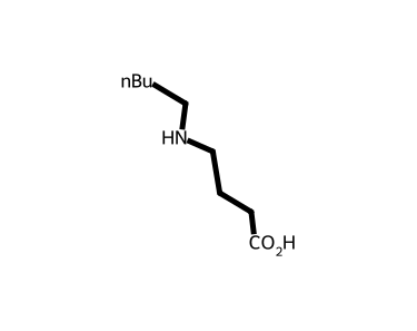 CCCCCNCCCC(=O)O